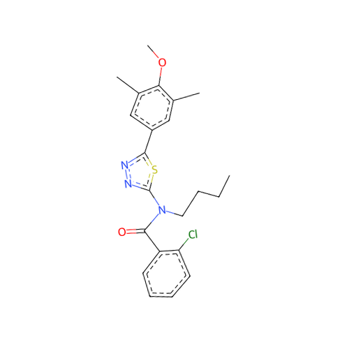 CCCCN(C(=O)c1ccccc1Cl)c1nnc(-c2cc(C)c(OC)c(C)c2)s1